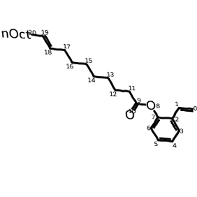 C=Cc1ccccc1OC(=O)CCCCCCCC=CCCCCCCCC